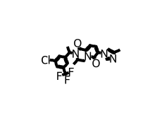 Cc1cn(-c2ccc3n(c2=O)CC(C)N(C(C)c2cc(Cl)cc(C(F)(F)F)c2)C3=O)cn1